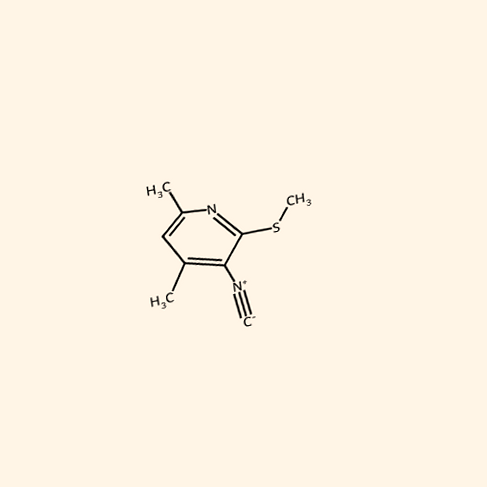 [C-]#[N+]c1c(C)cc(C)nc1SC